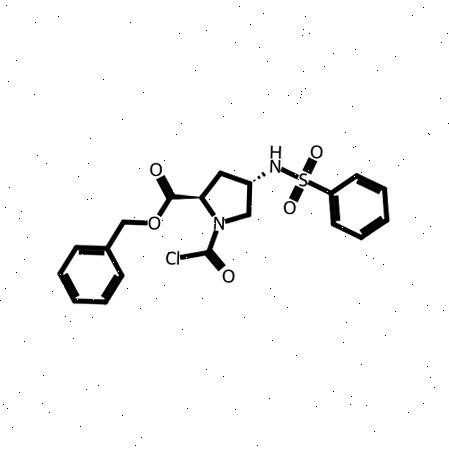 O=C(OCc1ccccc1)[C@H]1C[C@H](NS(=O)(=O)c2ccccc2)CN1C(=O)Cl